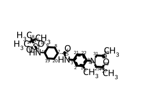 Cc1cc(NC(=O)[C@H]2CC[C@H](NS(=O)(=O)C(C)(C)C)CC2)ccc1N1C[C@@H](C)O[C@@H](C)C1